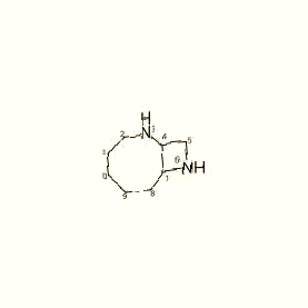 C1CCNC2CNC2CC1